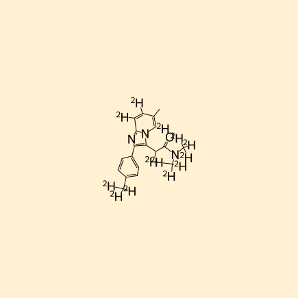 [2H]c1c(C)c([2H])n2c(C([2H])C(=O)N(C([2H])([2H])[2H])C([2H])([2H])[2H])c(-c3ccc(C([2H])([2H])[2H])cc3)nc2c1[2H]